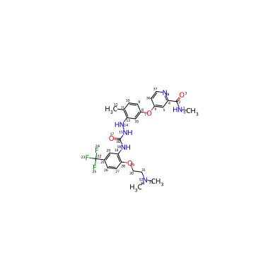 CNC(=O)c1cc(Oc2ccc(C)c(NNC(=O)Nc3cc(C(F)(F)F)ccc3OCCN(C)C)c2)ccn1